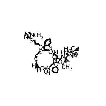 C=C[C@@H]1C[C@]1(NC(=O)[C@@H]1C[C@@H]2CN1C(=O)[C@H](C1CCCCC1)NC(=O)O[C@@H]1C[C@H]1CCCCCc1c(nc3ccccc3c1OCCCSc1nncn1C)O2)C(=O)NS(=O)(=O)C1(C)CC1